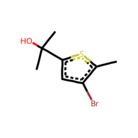 Cc1sc(C(C)(C)O)cc1Br